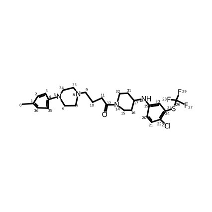 Cc1ccc(N2CCN(CCCC(=O)N3CCC(Nc4ccc(Cl)c(SC(F)(F)F)c4)CC3)CC2)cc1